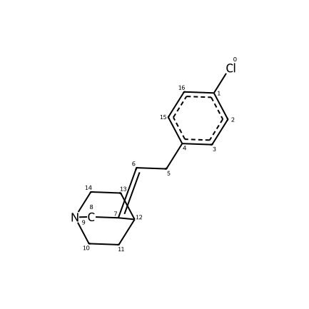 Clc1ccc(CC=C2CN3CCC2CC3)cc1